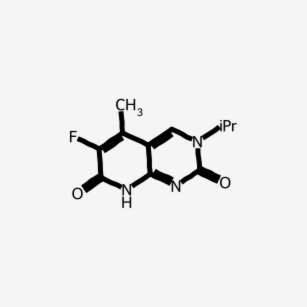 Cc1c(F)c(=O)[nH]c2nc(=O)n(C(C)C)cc12